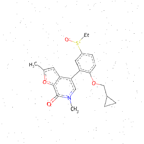 CC[S+]([O-])c1ccc(OCC2CC2)c(-c2cn(C)c(=O)c3oc(C)cc23)c1